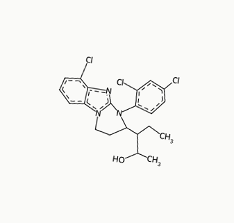 CCC(C(C)O)C1CCn2c(nc3c(Cl)cccc32)N1c1ccc(Cl)cc1Cl